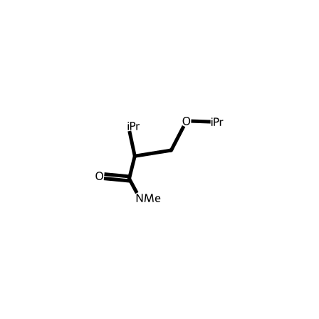 CNC(=O)C(COC(C)C)C(C)C